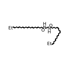 CCC=CCC=CCC=CCC=CCC=CCC=CCCC(=O)NCCNC(=O)CCC/C=C\C/C=C\CC=CCC=CC/C=C\CC